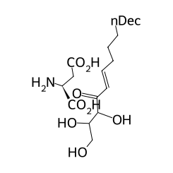 CCCCCCCCCCCCCC=CC(=O)C(O)C(O)CO.N[C@@H](CC(=O)O)C(=O)O